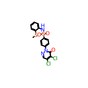 CSc1ccccc1NS(=O)(=O)c1ccc(-n2ncc(Cl)c(Cl)c2=O)cc1